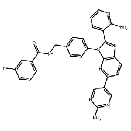 Nc1ncc(-c2ccc3nc(-c4cccnc4N)n(-c4ccc(CNC(=O)c5cccc(F)c5)cc4)c3n2)cn1